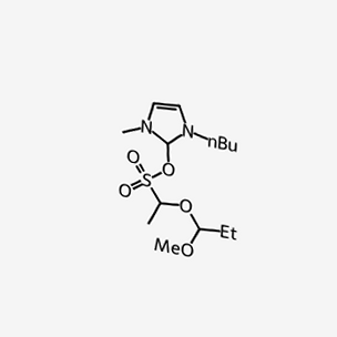 CCCCN1C=CN(C)C1OS(=O)(=O)C(C)OC(CC)OC